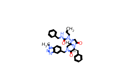 C=CCN(C(=O)NCc1ccccc1)N1CC(=O)N2[C@@H](Cc3ccccc3)C(=O)N(Cc3ccc4c(c3)nnn4C)C[C@@H]21